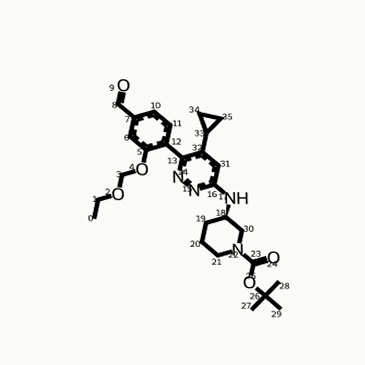 CCOCOc1cc(C=O)ccc1-c1nnc(N[C@@H]2CCCN(C(=O)OC(C)(C)C)C2)cc1C1CC1